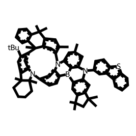 Cc1cc2c3c(c1)N1c4cc5c(cc4C)C(C)(C)c4ccccc4C5(C)c4cc5c(cc4C(C)(C)C)C4(C)CCCCC4(C)N5c4ccc(c1c4)B3c1cc3c(cc1N2c1ccc2sc4ccccc4c2c1)C(C)(C)CC3(C)C